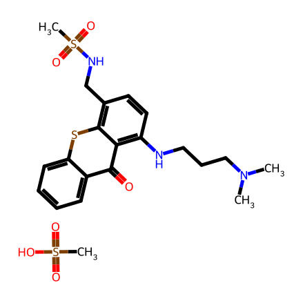 CN(C)CCCNc1ccc(CNS(C)(=O)=O)c2sc3ccccc3c(=O)c12.CS(=O)(=O)O